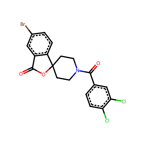 O=C1OC2(CCN(C(=O)c3ccc(Cl)c(Cl)c3)CC2)c2ccc(Br)cc21